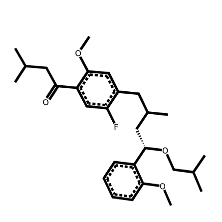 COc1cc(CC(C)C[C@H](OCC(C)C)c2ccccc2OC)c(F)cc1C(=O)CC(C)C